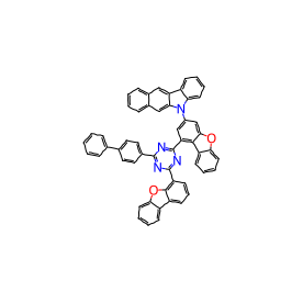 c1ccc(-c2ccc(-c3nc(-c4cccc5c4oc4ccccc45)nc(-c4cc(-n5c6ccccc6c6cc7ccccc7cc65)cc5oc6ccccc6c45)n3)cc2)cc1